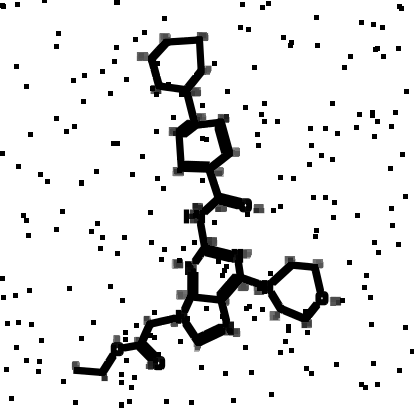 CCOC(=O)Cn1cnc2c(N3CCOCC3)nc(NC(=O)c3ccc(C4CCCCC4)cc3)nc21